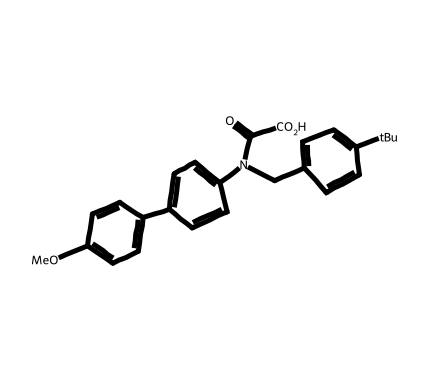 COc1ccc(-c2ccc(N(Cc3ccc(C(C)(C)C)cc3)C(=O)C(=O)O)cc2)cc1